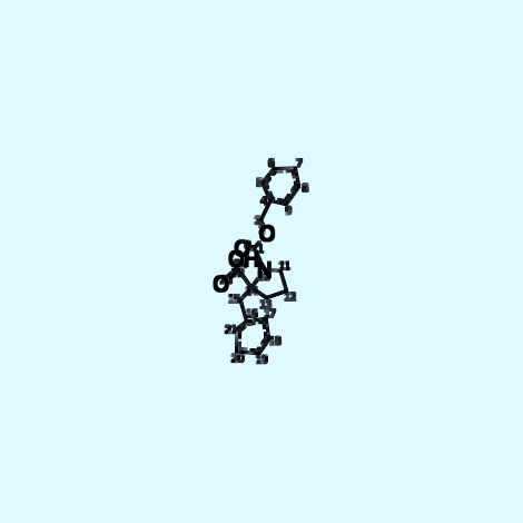 O=C(OCc1ccccc1)N1CCCC1(Cc1ccccc1)C(=O)O